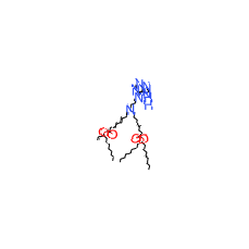 CCCCCCCCC(CC)OC(=O)CCCCCCCN(CCCCCCCC(=O)OC(CCCCCCCC)CCCCCCCC)CCCNc1ncnc2nc[nH]c12